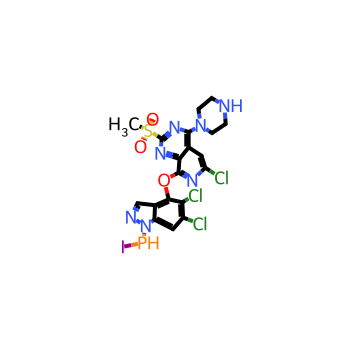 CS(=O)(=O)c1nc(N2CCNCC2)c2cc(Cl)nc(Oc3c(Cl)c(Cl)cc4c3cnn4PI)c2n1